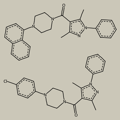 Cc1nn(-c2ccccc2)c(C)c1C(=O)N1CCN(c2ccc(Cl)cc2)CC1.Cc1nn(-c2ccccc2)c(C)c1C(=O)N1CCN(c2cccc3ccccc23)CC1